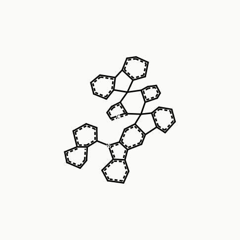 c1ccc2c(c1)-c1ccccc1C21c2ccccc2C2(c3ccccc3-c3cc4c5ccccc5n(-c5cccc6ccccc56)c4cc32)c2ccccc21